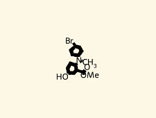 COC(=O)c1cc(O)ccc1N(C)c1ccc(Br)cc1